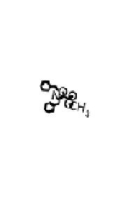 COC(=O)c1oc(Cc2ccccc2)nc1Cc1ccccc1